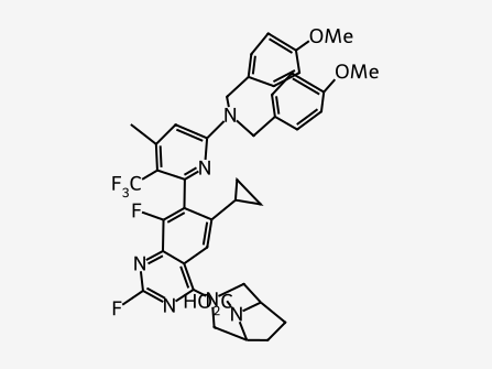 COc1ccc(CN(Cc2ccc(OC)cc2)c2cc(C)c(C(F)(F)F)c(-c3c(C4CC4)cc4c(N5CC6CCC(C5)N6C(=O)O)nc(F)nc4c3F)n2)cc1